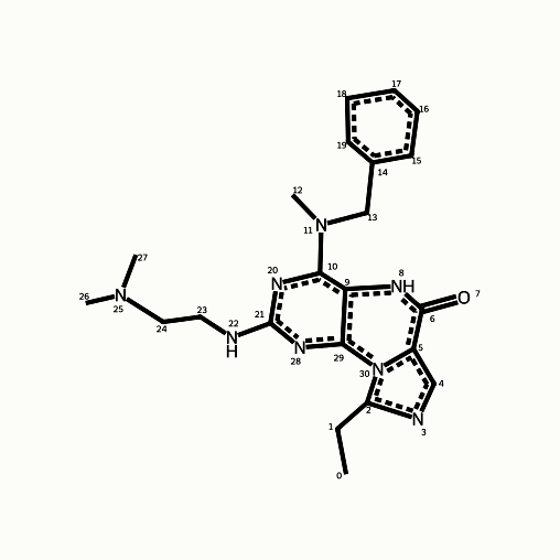 CCc1ncc2c(=O)[nH]c3c(N(C)Cc4ccccc4)nc(NCCN(C)C)nc3n12